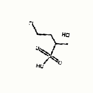 CC(CCCl)S(=O)(=O)O.Cl